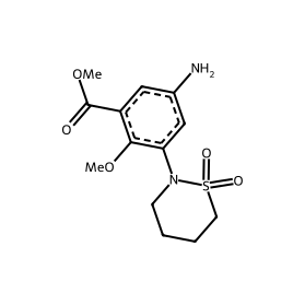 COC(=O)c1cc(N)cc(N2CCCCS2(=O)=O)c1OC